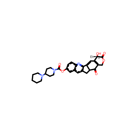 CC[C@@]1(O)C(=O)OCC2=C1C=C1c3nc4ccc(OC(=O)N5CCC(N6CCCCC6)CC5)cc4cc3CC1C2=O